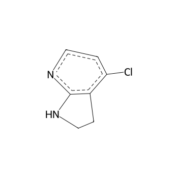 Clc1ccnc2c1CCN2